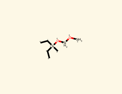 CC[Si](C)(CC)O[SiH2]O[SiH3]